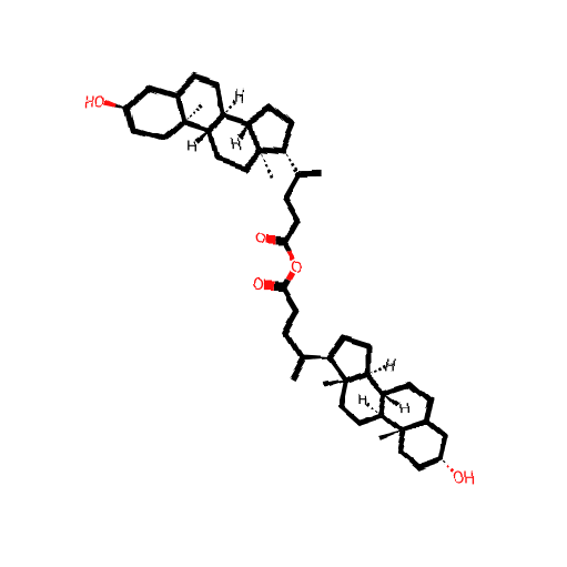 CC(CCC(=O)OC(=O)CCC(C)[C@H]1CC[C@H]2[C@@H]3CCC4C[C@H](O)CC[C@]4(C)[C@H]3CC[C@]12C)[C@H]1CC[C@H]2[C@@H]3CCC4C[C@H](O)CC[C@]4(C)[C@H]3CC[C@]12C